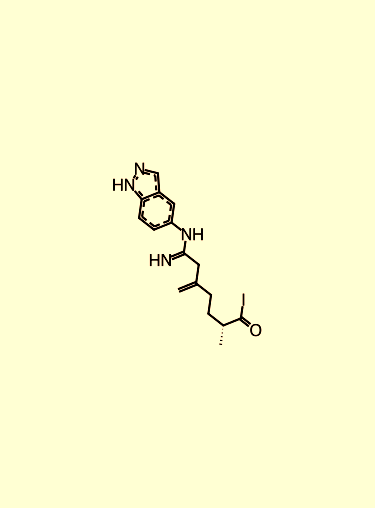 C=C(CC[C@@H](C)C(=O)I)CC(=N)Nc1ccc2[nH]ncc2c1